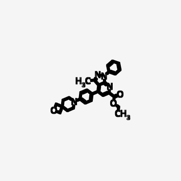 CCOC(=O)c1cc(-c2ccc(N3CCC4(CC3)COC4)cc2)c2c(C)nn(-c3ccccc3)c2n1